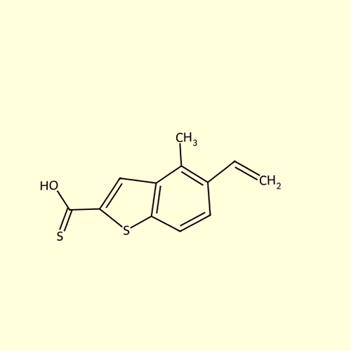 C=Cc1ccc2sc(C(O)=S)cc2c1C